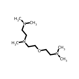 CN(C)CCOCCN(C)CCN(C)C